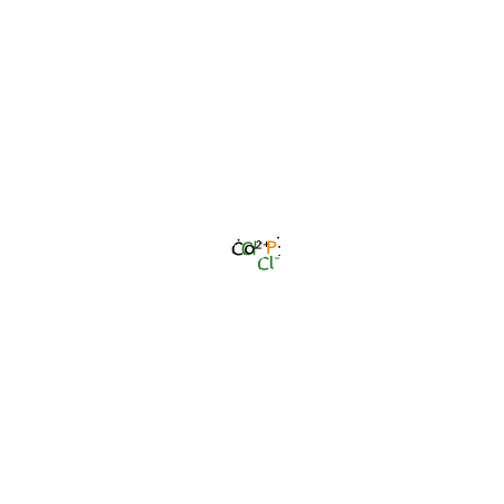 [Cl-].[Cl-].[Co+2].[P]